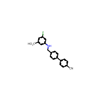 N#Cc1ccc(-c2ccc(CNc3cc(F)cc(C(=O)O)c3)cc2)cc1